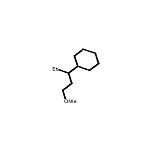 CCC(CCOC)C1CCCCC1